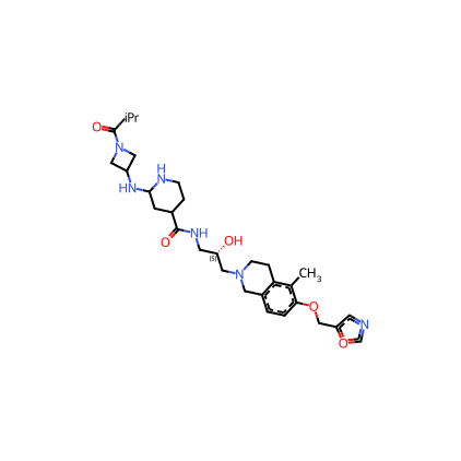 Cc1c(OCc2cnco2)ccc2c1CCN(C[C@@H](O)CNC(=O)C1CCNC(NC3CN(C(=O)C(C)C)C3)C1)C2